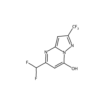 Oc1cc(C(F)F)nc2cc(C(F)(F)F)nn12